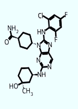 C[C@]1(O)CCC[C@@H](Nc2ncc3nc(Nc4c(F)cc(F)cc4Cl)n([C@H]4CC[C@H](C(N)=O)CC4)c3n2)C1